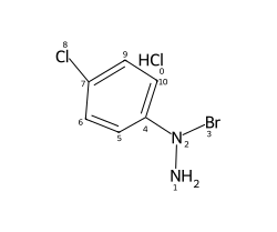 Cl.NN(Br)c1ccc(Cl)cc1